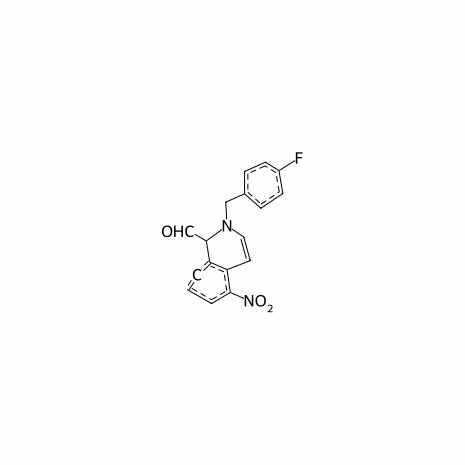 O=CC1c2cccc([N+](=O)[O-])c2C=CN1Cc1ccc(F)cc1